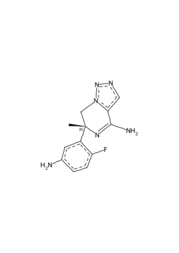 C[C@@]1(c2cc(N)ccc2F)Cn2nncc2C(N)=N1